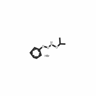 Br.CC(C)OPOOc1ccccc1